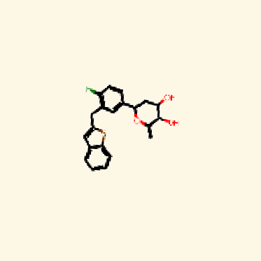 CC1OC(c2ccc(F)c(Cc3cc4ccccc4s3)c2)CC(O)C1O